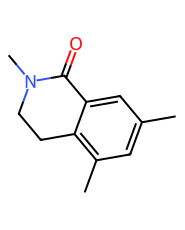 Cc1cc(C)c2c(c1)C(=O)N(C)CC2